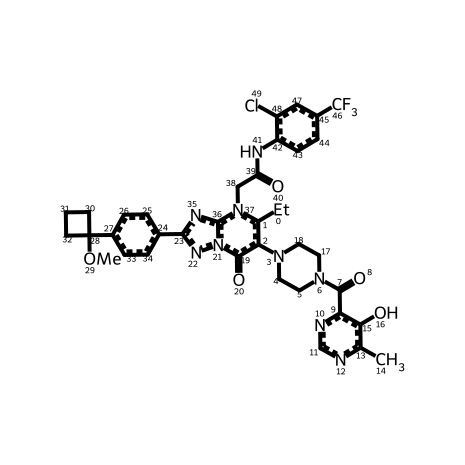 CCc1c(N2CCN(C(=O)c3ncnc(C)c3O)CC2)c(=O)n2nc(-c3ccc(C4(OC)CCC4)cc3)nc2n1CC(=O)Nc1ccc(C(F)(F)F)cc1Cl